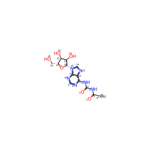 CCCCC(=O)NC(=O)Nc1ncnc2c1ncn2[C@@H]1O[C@H](CO)[C@@H](O)[C@H]1O